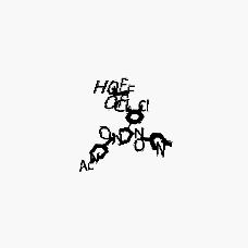 CC(=O)N1CCC(C(=O)N2CC[C@@H](N(C)C(=O)c3ccc(C)nc3)[C@H](c3ccc(Cl)c(Cl)c3)C2)CC1.O=C(O)C(F)(F)F